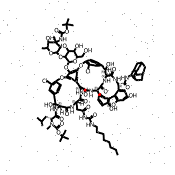 CCCCCCCCNC(=O)NC(=O)C[C@@H]1NC(=O)[C@H](NC(=O)[C@@H](CC(C)C)N(C)C(=O)OC(C)(C)C)[C@H](O)c2ccc(c(Cl)c2)Oc2cc3cc(c2OC2OC(CO)C(O)C(O)C2OC2CC(C)(NC(=O)OC(C)(C)C)C(O)C(C)O2)Oc2ccc(cc2Cl)[C@@H](O)[C@@H]2NC(=O)[C@H](NC(=O)[C@@H]3NC1=O)c1ccc(O)c(c1)-c1c(O)cc(O)cc1[C@@H](C(=O)NC1C3CC4CC(C3)CC1C4)NC2=O